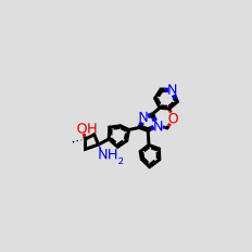 C[C@]1(O)C[C@@](N)(c2ccc(-c3nc4n(c3-c3ccccc3)COc3cnccc3-4)cc2)C1